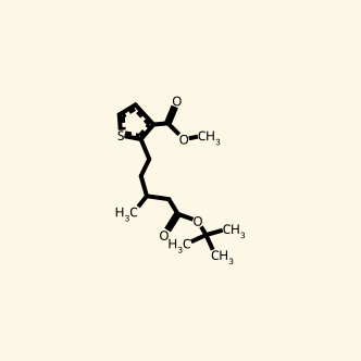 COC(=O)c1ccsc1CCC(C)CC(=O)OC(C)(C)C